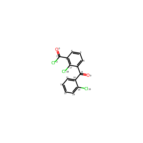 O=C(Cl)c1cccc(C(=O)c2ccccc2Cl)c1Cl